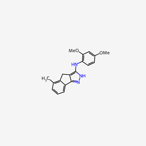 COc1ccc(Nc2[nH]nc3c2Cc2c(C)cccc2-3)c(OC)c1